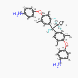 Cc1cc(C(F)(c2cc(C)c(Oc3ccc(N)cc3)c(C)c2)C(F)(F)C(F)(F)F)cc(C)c1Oc1ccc(N)cc1